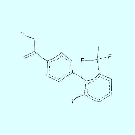 C=C(CC)c1ccc(-c2c(F)cccc2C(C)(F)F)cc1